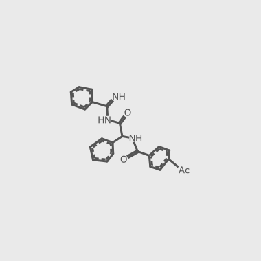 CC(=O)c1ccc(C(=O)NC(C(=O)NC(=N)c2ccccc2)c2ccccc2)cc1